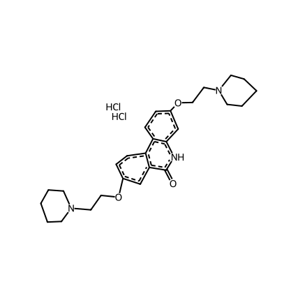 Cl.Cl.O=c1[nH]c2cc(OCCN3CCCCC3)ccc2c2ccc(OCCN3CCCCC3)cc12